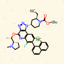 C[C@H](Oc1nc2c(F)c(-c3cccc4cccc(C#N)c34)c(Cl)cc2c2c1nnn2[C@H]1CCN(C(=O)OC(C)(C)C)[C@H](CC#N)C1)[C@@H]1CCCN1C